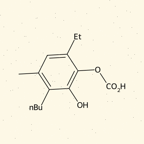 CCCCc1c(C)cc(CC)c(OC(=O)O)c1O